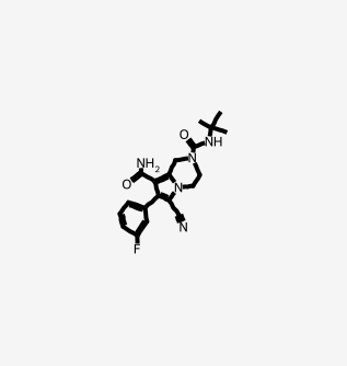 CC(C)(C)NC(=O)N1CCn2c(C#N)c(-c3cccc(F)c3)c(C(N)=O)c2C1